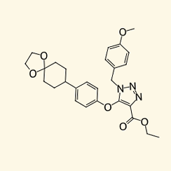 CCOC(=O)c1nnn(Cc2ccc(OC)cc2)c1Oc1ccc(C2CCC3(CC2)OCCO3)cc1